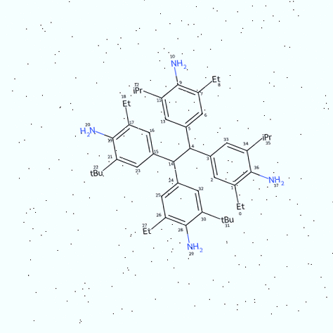 CCc1cc(C(c2cc(CC)c(N)c(C(C)C)c2)C(c2cc(CC)c(N)c(C(C)(C)C)c2)c2cc(CC)c(N)c(C(C)(C)C)c2)cc(C(C)C)c1N